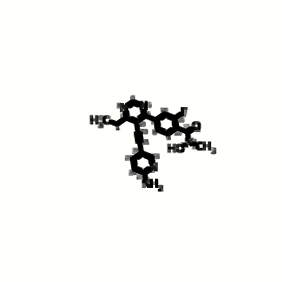 CCc1ncnc(-c2ccc(C(=O)N(C)O)c(F)c2)c1C#Cc1ccc(N)nc1